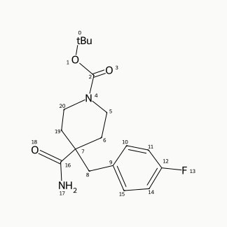 CC(C)(C)OC(=O)N1CCC(Cc2ccc(F)cc2)(C(N)=O)CC1